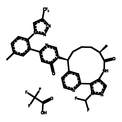 Cc1ccc(-n2cc(C(F)(F)F)nn2)c(-c2cc(=O)n([C@H]3CCC[C@@H](C)C(=O)Nc4cnn(C(F)F)c4-c4cc3ccn4)cn2)c1.O=C(O)C(F)(F)F